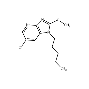 CCCCCn1c(OC)nc2ncc(Cl)cc21